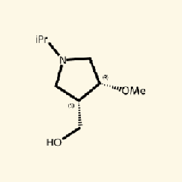 CO[C@H]1CN(C(C)C)C[C@H]1CO